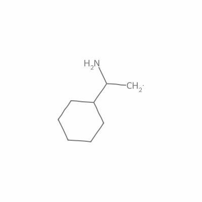 [CH2]C(N)C1CCCCC1